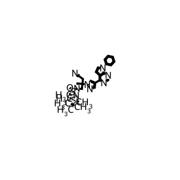 CC(C)(C)[Si](C)(C)N=S(C)(=O)N1CC(CC#N)(n2cc(-c3ncnc4c3ccn4-c3ccccc3)cn2)C1